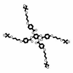 CC1(COCCCCOc2ccc(C(=O)Oc3cc(OC(=O)c4ccc(OCCCCOCC5(C)COC5)cc4)c(OC(=O)c4ccc(OCCCCOCC5(C)COC5)cc4)cc3OC(=O)c3ccc(OCCCCOCC4(C)COC4)cc3)cc2)COC1